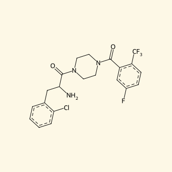 NC(Cc1ccccc1Cl)C(=O)N1CCN(C(=O)c2cc(F)ccc2C(F)(F)F)CC1